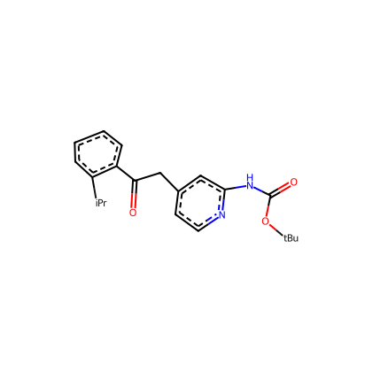 CC(C)c1ccccc1C(=O)Cc1ccnc(NC(=O)OC(C)(C)C)c1